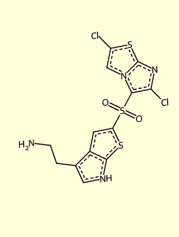 NCCc1c[nH]c2sc(S(=O)(=O)c3c(Cl)nc4sc(Cl)cn34)cc12